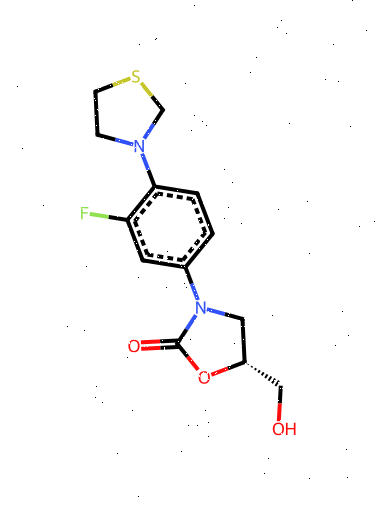 O=C1O[C@@H](CO)CN1c1ccc(N2CCSC2)c(F)c1